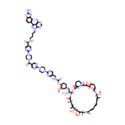 CO[C@H]1C[C@@H]2CC[C@@H](C)[C@@](O)(O2)C(=O)C(=O)N2CCCC[C@H]2C(=O)O[C@H]([C@H](N)C[C@@H]2CC[C@@H](OC(=O)NCc3cnc(N4CCN(c5ncc(C(=O)N6CCN(c7ncc(C(=O)NCCCCn8nc(-c9ccc%10oc(N)nc%10c9)c9c(N)ncnc98)cn7)CC6)cn5)CC4)nc3)[C@H](OC)C2)CC(=O)[C@H](C)/C=C(\C)[C@@H](O)[C@@H](OC)C(=O)[C@H](C)C[C@H](C)/C=C/C=C/C=C/1C